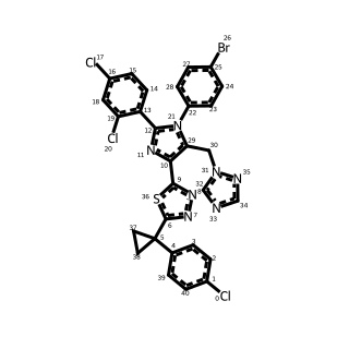 Clc1ccc(C2(c3nnc(-c4nc(-c5ccc(Cl)cc5Cl)n(-c5ccc(Br)cc5)c4Cn4cncn4)s3)CC2)cc1